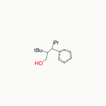 CC(C)C(c1ccccc1)C(CO)C(C)(C)C